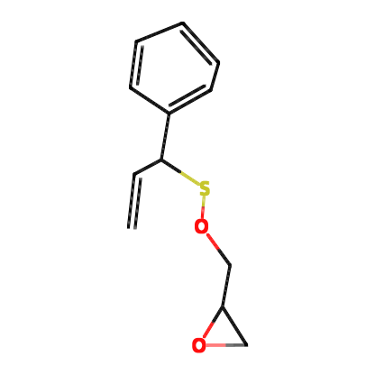 C=CC(SOCC1CO1)c1ccccc1